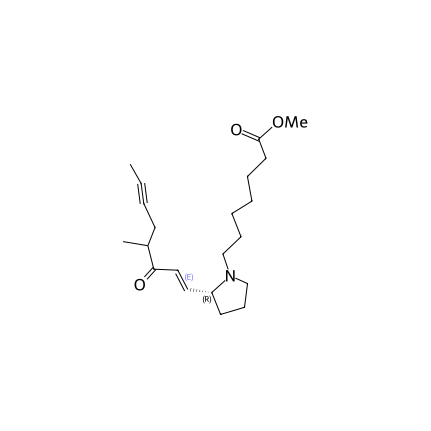 CC#CCC(C)C(=O)/C=C/[C@H]1CCCN1CCCCCCC(=O)OC